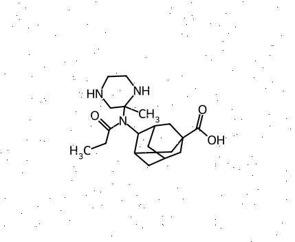 CCC(=O)N(C1C2CC3CC1CC(C(=O)O)(C3)C2)C1(C)CNCCN1